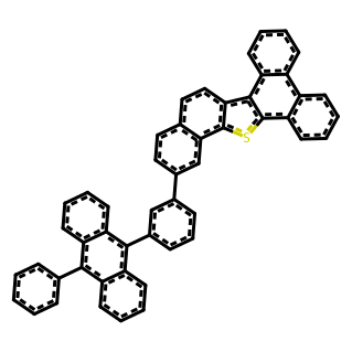 c1ccc(-c2c3ccccc3c(-c3cccc(-c4ccc5ccc6c(sc7c8ccccc8c8ccccc8c67)c5c4)c3)c3ccccc23)cc1